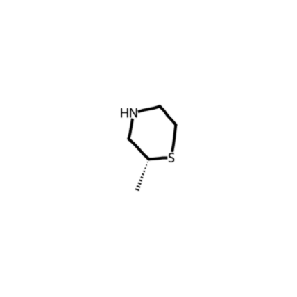 C[C@@H]1CNCCS1